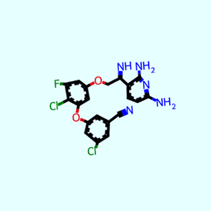 N#Cc1cc(Cl)cc(Oc2cc(OCC(=N)c3ccc(N)nc3N)cc(F)c2Cl)c1